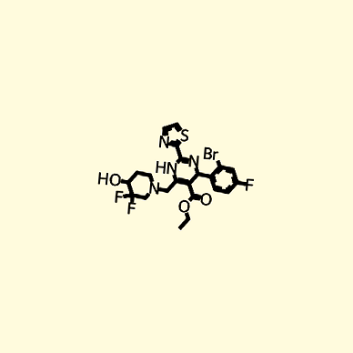 CCOC(=O)C1=C(CN2CCC(O)C(F)(F)C2)NC(c2nccs2)=NC1c1ccc(F)cc1Br